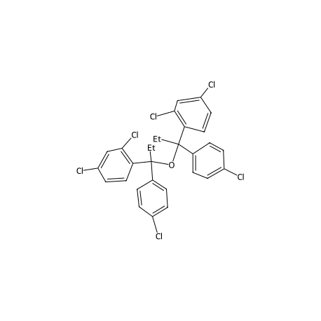 CCC(OC(CC)(c1ccc(Cl)cc1)c1ccc(Cl)cc1Cl)(c1ccc(Cl)cc1)c1ccc(Cl)cc1Cl